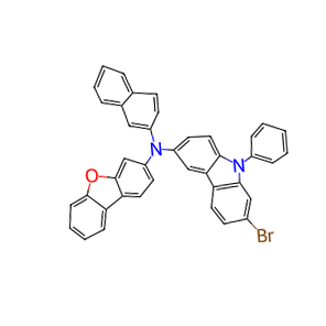 Brc1ccc2c3cc(N(c4ccc5ccccc5c4)c4ccc5c(c4)oc4ccccc45)ccc3n(-c3ccccc3)c2c1